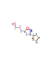 O=CCCC1CC(c2cccs2)=NO1